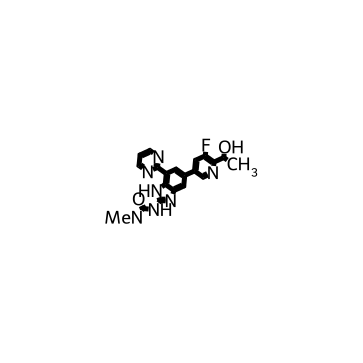 CNC(=O)Nc1nc2cc(-c3cnc(C(C)O)c(F)c3)cc(-c3ncccn3)c2[nH]1